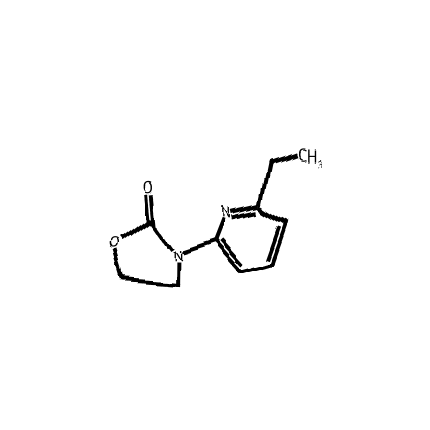 CCc1cccc(N2CCOC2=O)n1